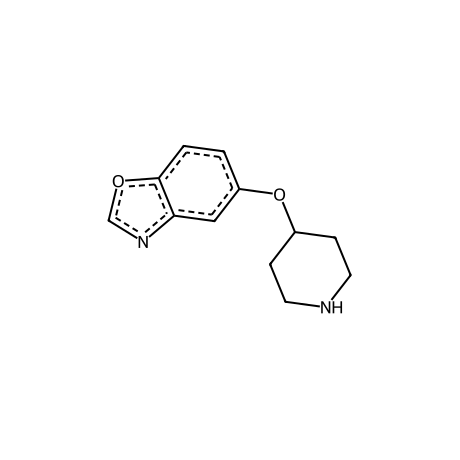 c1nc2cc(OC3CCNCC3)ccc2o1